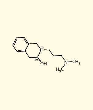 CN(C)CCC[C@H]1Cc2ccccc2C[C@@H]1O